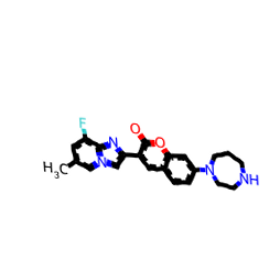 Cc1cc(F)c2nc(-c3cc4ccc(N5CCCNCC5)cc4oc3=O)cn2c1